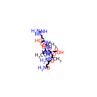 CC(C)C[C@H](NC(=O)[C@H](CCC(=O)O)NC(=O)[C@H](C)NC(=O)[C@@H](N)CCC(N)=O)C(=O)N[C@@H](C)C(=O)N[C@@H](CCCNC(=N)N)C(=O)O